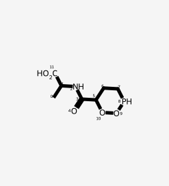 CC(NC(=O)C1CCPOO1)C(=O)O